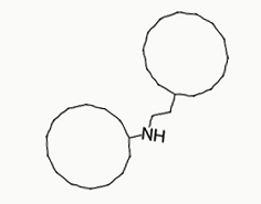 C1CCCCCCC(CCNC2CCCCCCCCCCCCC2)CCCCCC1